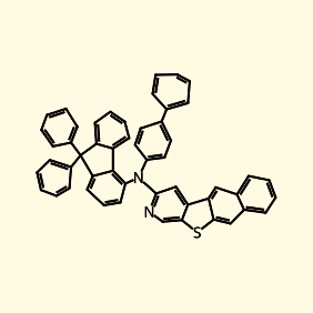 c1ccc(-c2ccc(N(c3cc4c(cn3)sc3cc5ccccc5cc34)c3cccc4c3-c3ccccc3C4(c3ccccc3)c3ccccc3)cc2)cc1